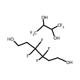 OC(C(O)C(F)(F)F)C(F)(F)F.OCCC(F)(F)C(F)(F)CCO